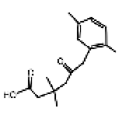 Cc1ccc(C)c(CC(=O)CC(C)(C)CC(=O)O)c1